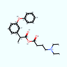 CCN(CC)CCCC(=O)OC(=O)C(C)c1cccc(Oc2ccccc2)c1